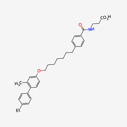 CCc1ccc(-c2ccc(OCCCCCCCc3ccc(C(=O)NCCC(=O)O)cc3)cc2C)cc1